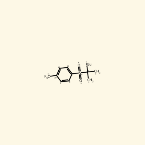 CC(C)(C)C(C)(C)S(=O)(=O)c1ccc(C(F)(F)F)cc1